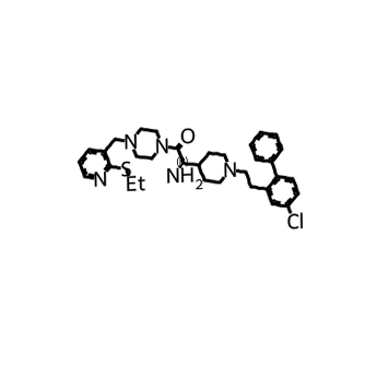 CCSc1ncccc1CN1CCN(C(=O)[C@H](N)C2CCN(CCc3cc(Cl)ccc3-c3ccccc3)CC2)CC1